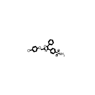 NS(=O)(=O)c1ccc(-c2nc(COc3ccc(Cl)cc3)oc2-c2ccccc2)cc1